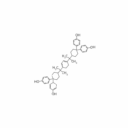 CC(C)(C1=CC=C(C(C)(C)C2CCC(c3ccc(O)cc3)(C3C=CC(O)=CC3)CC2)CC1)C1CCC(c2ccc(O)cc2)(c2ccc(O)cc2)CC1